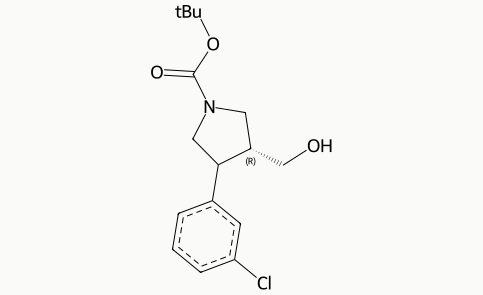 CC(C)(C)OC(=O)N1CC(c2cccc(Cl)c2)[C@@H](CO)C1